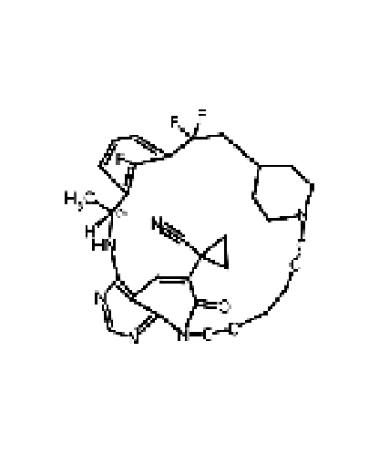 C[C@H]1Nc2ncnc3c2cc(C2(C#N)CC2)c(=O)n3CCCCCCN2CCC(CC2)CC(F)(F)c2cccc1c2F